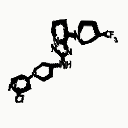 FC(F)(F)C1CCN(c2cccn3nc(NC4CCN(c5ccnc(Cl)c5)CC4)nc23)CC1